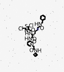 O=C(/C=C/CC[C@H](NC(=O)c1nc(Cl)sc1Cl)C(=O)Nc1cccn(CC(=O)NC23CC(C2)C3)c1=O)NCc1ccccc1